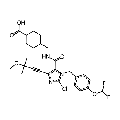 COC(C)(C)C#Cc1nc(Cl)n(Cc2ccc(OC(F)F)cc2)c1C(=O)NCC1CCC(C(=O)O)CC1